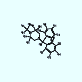 [2H]c1c([2H])c([2H])c(C([2H])(c2c([2H])c([2H])c([2H])c([2H])c2[2H])N2CC([2H])([2H])N(C([2H])([2H])[2H])C([2H])([2H])C2)c([2H])c1[2H]